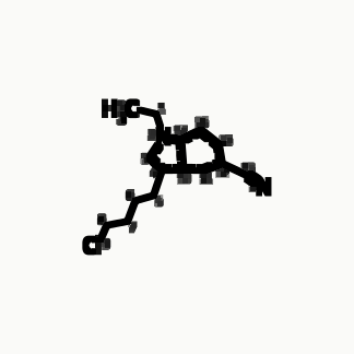 CCn1cc(CCCCCl)c2cc(C#N)ccc21